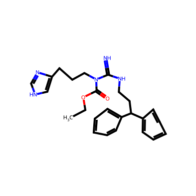 CCOC(=O)N(CCCc1c[nH]cn1)C(=N)NCCC(c1ccccc1)c1ccccc1